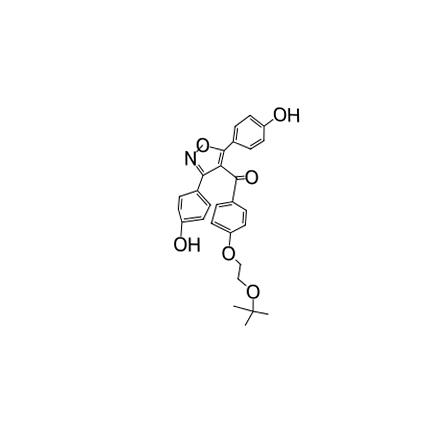 CC(C)(C)OCCOc1ccc(C(=O)c2c(-c3ccc(O)cc3)noc2-c2ccc(O)cc2)cc1